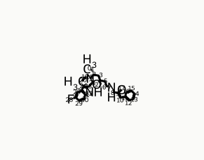 CC[C@H](CCCCNCc1cc2ccccc2o1)N(CC)C(=O)c1cc2cc(F)ccc2[nH]1